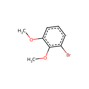 COc1cc[c]c(Br)c1OC